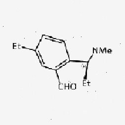 CCc1ccc([C@H](CC)NC)c(C=O)c1